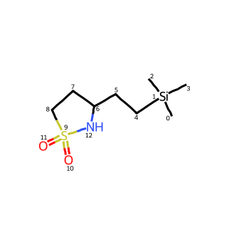 C[Si](C)(C)CCC1CCS(=O)(=O)N1